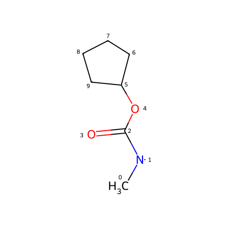 C[N]C(=O)OC1CCCC1